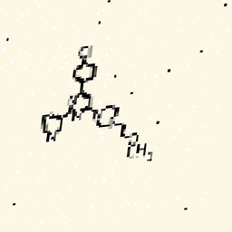 COCCN1CCN(c2cc(-c3ccc(Cl)cc3)nc(-c3cccnc3)n2)CC1